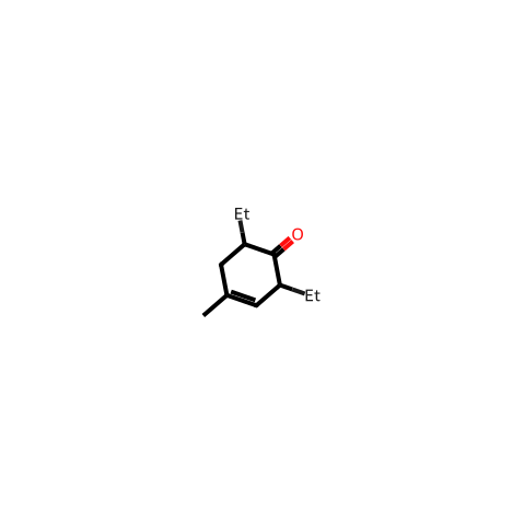 CCC1C=C(C)CC(CC)C1=O